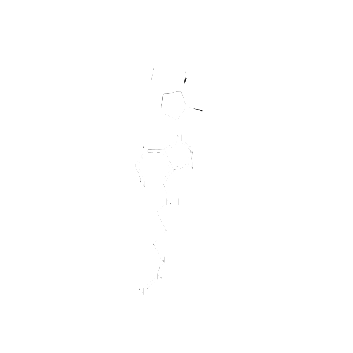 [N-]=[N+]=NCCCNc1ncnc2c1ncn2[C@@H]1O[C@H](CI)[C@@H](O)[C@H]1O